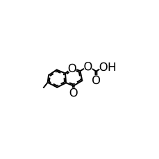 Cc1ccc2oc(OC(=O)O)cc(=O)c2c1